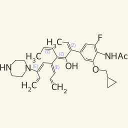 C=C/C=C(\C=C(/C=C)N1CCNCC1)C(/C=C\C)=C(O)/C(=C\C)c1cc(F)c(NC(C)=O)c(OCC2CC2)c1